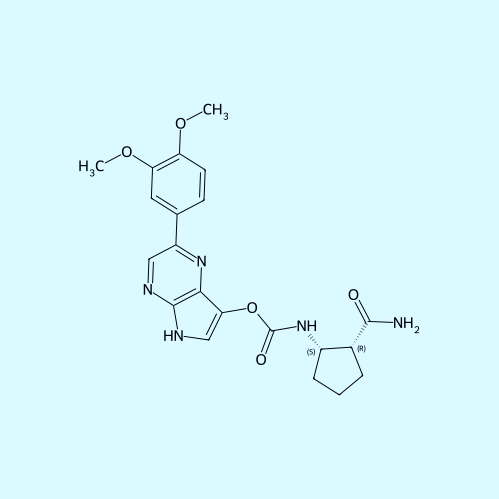 COc1ccc(-c2cnc3[nH]cc(OC(=O)N[C@H]4CCC[C@H]4C(N)=O)c3n2)cc1OC